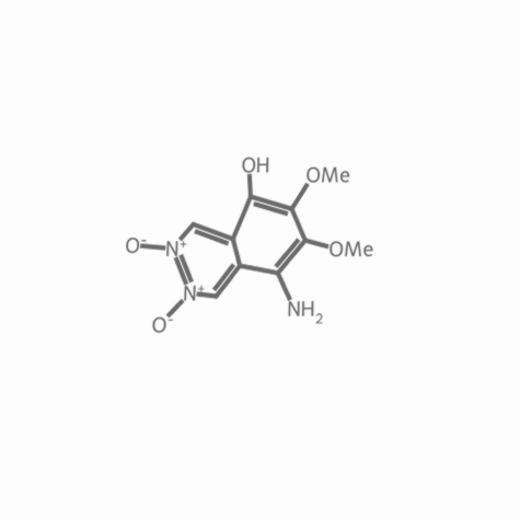 COc1c(OC)c(O)c2c[n+]([O-])[n+]([O-])cc2c1N